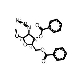 CO[C@@H]1O[C@H](COC(=O)c2ccccc2)[C@@H](OC(=O)c2ccccc2)C1N=[N+]=[N-]